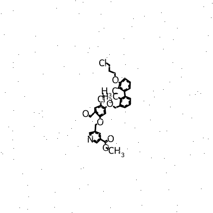 COC(=O)c1cncc(COc2cc(OCc3cccc(-c4cccc(OCCCCl)c4C)c3C)c(Cl)cc2C=O)c1